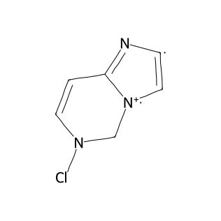 ClN1C=CC2=N[C]=C[N+]2C1